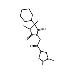 CN1CC(C(=O)CN2C(=O)N(C)C(C)(C3CCCCC3)C2=O)CN1